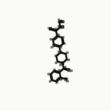 CCCCNC(=O)c1ccc(N2CCN(C(=O)c3ccccc3Br)CC2)nc1